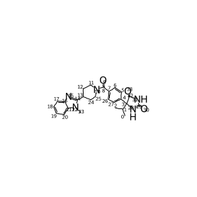 CC(C)C1(c2ccc(C(=O)N3CCC(c4nc5ccccc5n4C)CC3)cc2)NC(=O)NC1=O